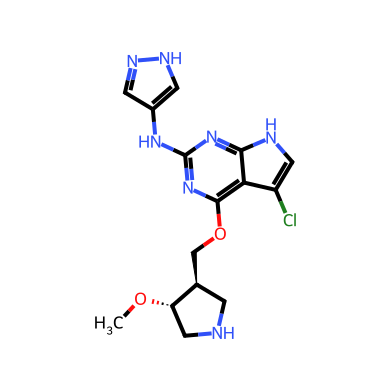 CO[C@H]1CNC[C@@H]1COc1nc(Nc2cn[nH]c2)nc2[nH]cc(Cl)c12